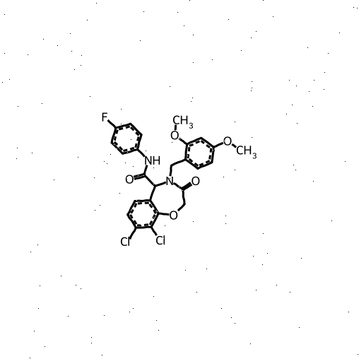 COc1ccc(CN2C(=O)COc3c(ccc(Cl)c3Cl)C2C(=O)Nc2ccc(F)cc2)c(OC)c1